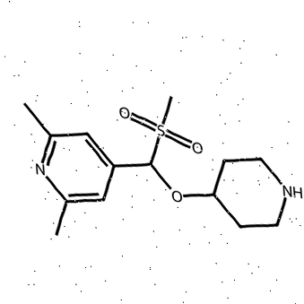 Cc1cc(C(OC2CCNCC2)S(C)(=O)=O)cc(C)n1